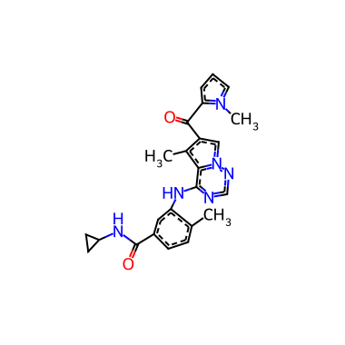 Cc1ccc(C(=O)NC2CC2)cc1Nc1ncnn2cc(C(=O)c3cccn3C)c(C)c12